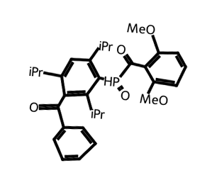 COc1cccc(OC)c1C(=O)[PH](=O)c1c(C(C)C)cc(C(C)C)c(C(=O)c2ccccc2)c1C(C)C